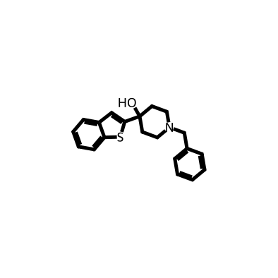 OC1(c2cc3ccccc3s2)CCN(Cc2ccccc2)CC1